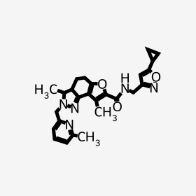 Cc1cccc(CN2N=C3c4c(oc(C(=O)NCc5cc(C6CC6)on5)c4C)CCC3C2C)n1